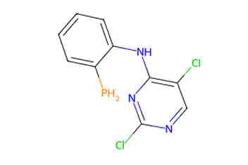 Pc1ccccc1Nc1nc(Cl)ncc1Cl